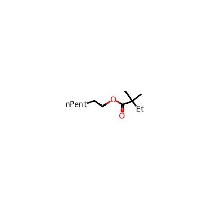 CCCCCCCOC(=O)C(C)(C)CC